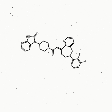 O=C(/C=C1\CCC(c2cccc(F)c2F)Cc2cccnc21)N1CCC(n2c(=O)[nH]c3ncccc32)CC1